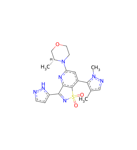 Cc1cnn(C)c1-c1cc(N2CCOC[C@H]2C)nc2c1S(=O)(=O)N=C2c1ccn[nH]1